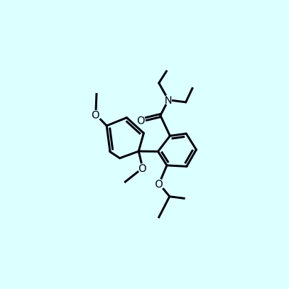 CCN(CC)C(=O)c1cccc(OC(C)C)c1C1(OC)C=CC(OC)=CC1